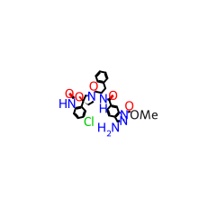 COC(=O)n1nc(N)c2ccc(C(=O)NC(Cc3ccccc3)C(=O)N3CC[C@@]4(C3)OC(=O)Nc3ccc(Cl)cc34)cc21